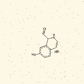 Br.O=CC1NC=Cc2ccc(O)cc21